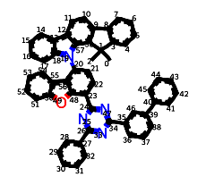 CC1(C)c2ccccc2-c2ccc3c4ccccc4n(-c4ccc(-c5nc(-c6ccccc6)nc(-c6cccc(-c7ccccc7)c6)n5)c5oc6ccccc6c45)c3c21